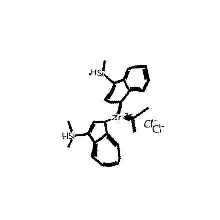 C[C](C)=[Zr+2]([CH]1C=C([SiH](C)C)c2ccccc21)[CH]1C=C([SiH](C)C)c2ccccc21.[Cl-].[Cl-]